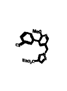 CCOC(=O)c1cnn(Cc2cnc(OC)c(-c3cccc(Cl)c3)c2)c1